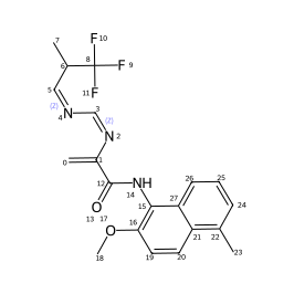 C=C(/N=C\N=C/C(C)C(F)(F)F)C(=O)Nc1c(OC)ccc2c(C)cccc12